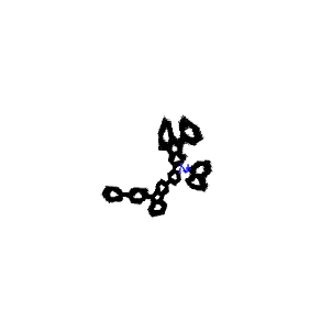 c1ccc(-c2ccc(C3c4ccccc4-c4cc(-c5ccc6c(c5)c5cc7c(cc5n6-c5cccc6ccccc56)C(c5ccccc5)c5ccccc5-7)ccc43)cc2)cc1